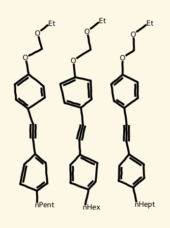 CCCCCCCc1ccc(C#Cc2ccc(OCOCC)cc2)cc1.CCCCCCc1ccc(C#Cc2ccc(OCOCC)cc2)cc1.CCCCCc1ccc(C#Cc2ccc(OCOCC)cc2)cc1